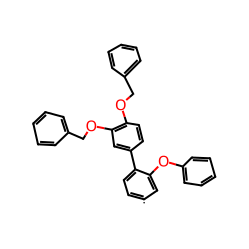 [c]1ccc(-c2ccc(OCc3ccccc3)c(OCc3ccccc3)c2)c(Oc2ccccc2)c1